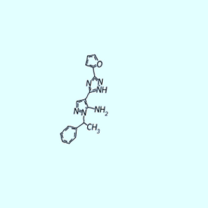 CC(c1ccccc1)n1ncc(-c2nc(-c3ccco3)n[nH]2)c1N